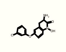 NC1Cc2cc(Oc3cccc(Cl)c3)ccc2N(O)C1=O